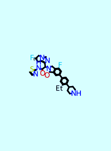 CCc1cc(-c2cc(F)c3c(c2)C(=O)N(C(C(=O)Nc2nccs2)c2ncn4c2C[C@@H](F)C4)C3)ccc1C1CCNCC1